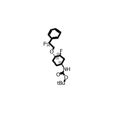 CC(C)(C)OC(=O)N[C@H]1CC[C@H](OC[C@H](F)c2ccccc2)[C@@H](F)C1